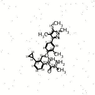 CSc1c(C)c(-c2ccc(OCc3c(C4CC4)cccc3N(N)C(=O)N(C)N)c(C)c2)nn1C